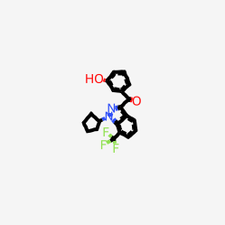 O=C(c1cccc(O)c1)c1nn(C2CCCC2)c2c(C(F)(F)F)cccc12